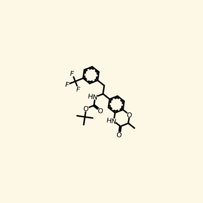 CC1Oc2ccc(C(Cc3cccc(C(F)(F)F)c3)NC(=O)OC(C)(C)C)cc2NC1=O